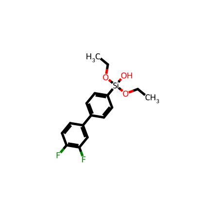 CCO[Si](O)(OCC)c1ccc(-c2ccc(F)c(F)c2)cc1